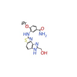 CC(C)Oc1ccc(C(N)=O)cc1Nc1nc2c(ccc3[nH]c(CO)nc32)s1